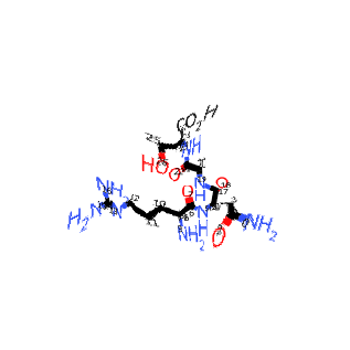 NC(=O)C[C@H](NC(=O)[C@@H](N)CCCN=C(N)N)C(=O)NCC(=O)N[C@@H](CO)C(=O)O